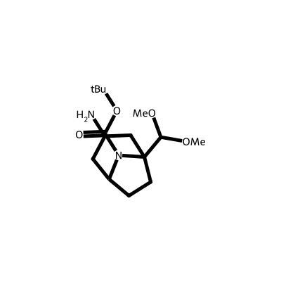 COC(OC)C12CCC(CC(N)C1)N2C(=O)OC(C)(C)C